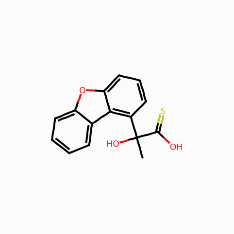 CC(O)(C(O)=S)c1cccc2oc3ccccc3c12